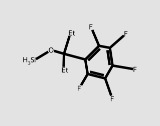 CCC(CC)(O[SiH3])c1c(F)c(F)c(F)c(F)c1F